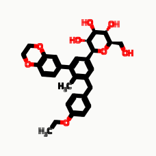 CCOc1ccc(Cc2cc([C@@H]3O[C@H](CO)[C@@H](O)[C@H](O)[C@H]3O)cc(-c3ccc4c(c3)OCCO4)c2C)cc1